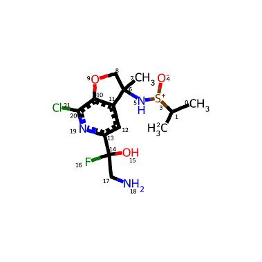 CC(C)[S+]([O-])NC1(C)COc2c1cc(C(O)(F)CN)nc2Cl